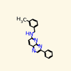 Cc1cccc(CNc2ccc3ncc(-c4ccccc4)nc3n2)c1